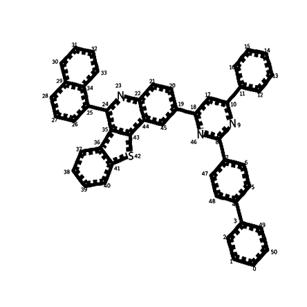 c1ccc(-c2ccc(-c3nc(-c4ccccc4)cc(-c4ccc5nc(-c6cccc7ccccc67)c6c7ccccc7sc6c5c4)n3)cc2)cc1